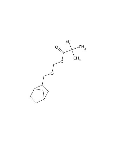 CCC(C)(C)C(=O)OCOCC1CC2CCC1C2